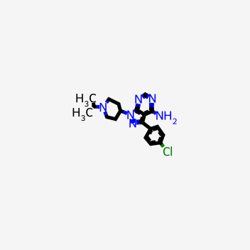 CC(C)N1CCC(n2nc(-c3ccc(Cl)cc3)c3c(N)ncnc32)CC1